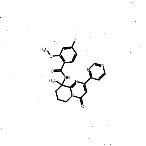 COc1cc(F)ccc1C(=O)NC1(C)CCCn2c1nc(-c1ccncn1)cc2=O